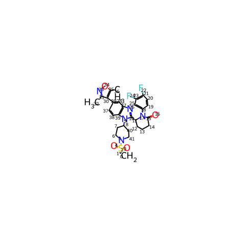 C=CS(=O)(=O)N1CCC(n2c([C@@H]3CCCC(=O)N3c3ccc(F)c(F)c3)nc3cc(-c4c(C)noc4C)ccc32)CC1